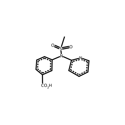 CS(=O)(=O)N(c1cccc(C(=O)O)c1)c1ccccn1